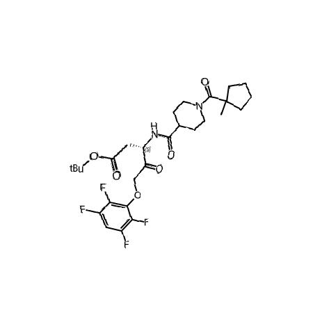 CC(C)(C)OC(=O)C[C@H](NC(=O)C1CCN(C(=O)C2(C)CCCC2)CC1)C(=O)COc1c(F)c(F)cc(F)c1F